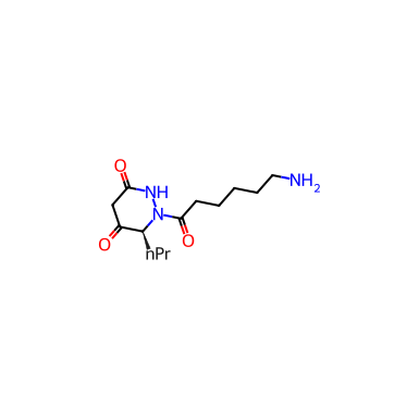 C[CH]C[C@H]1C(=O)CC(=O)NN1C(=O)CCCCCN